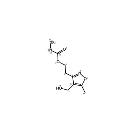 Cc1onc(CCOC(=O)NC(C)(C)C)c1CO